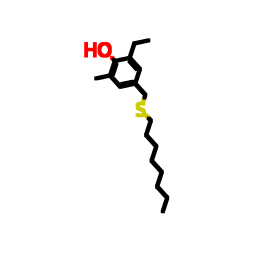 CCCCCCCCSCc1cc(C)c(O)c(CC)c1